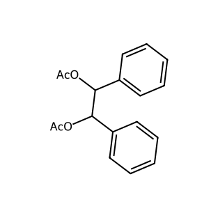 CC(=O)OC(c1ccccc1)C(OC(C)=O)c1ccccc1